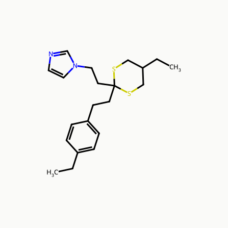 CCc1ccc(CCC2(CCn3ccnc3)SCC(CC)CS2)cc1